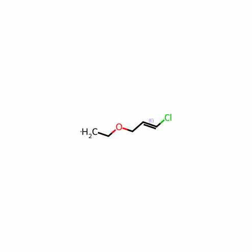 [CH2]COC/C=C/Cl